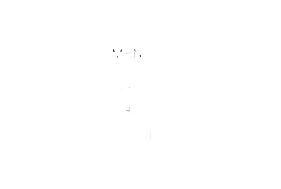 CCO[SiH2]OCC.CNc1ccccc1